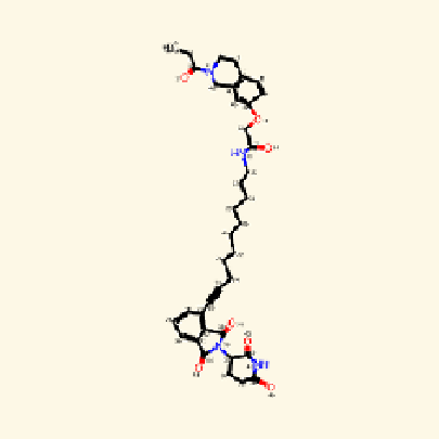 CC(C)(C)CC(=O)N1CCc2ccc(OCC(=O)NCCCCCCCCCC#Cc3cccc4c3C(=O)N(C3CCC(=O)NC3=O)C4=O)cc2C1